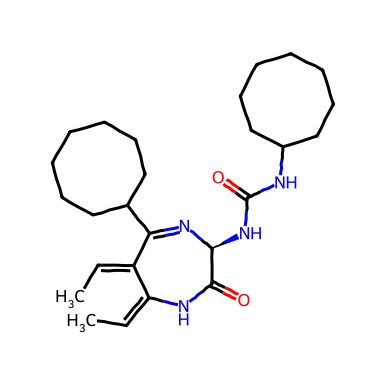 C/C=C1/NC(=O)[C@H](NC(=O)NC2CCCCCCC2)N=C(C2CCCCCCC2)/C1=C/C